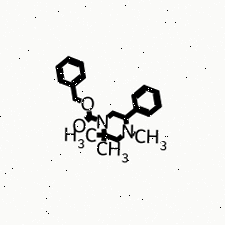 CN1CC(C)(C)N(C(=O)OCc2ccccc2)CC1c1ccccc1